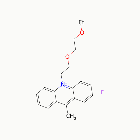 CCOCCOCC[n+]1c2ccccc2c(C)c2ccccc21.[I-]